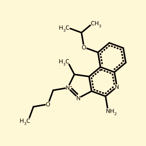 CCOC[N+]1=Nc2c(N)nc3cccc(OC(C)C)c3c2C1C